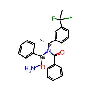 C[C@H](c1cccc(C(C)(F)F)c1)N(C(=O)c1ccccc1)[C@@H](C(N)=O)c1ccccc1